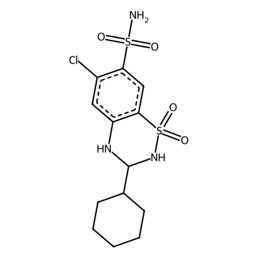 NS(=O)(=O)c1cc2c(cc1Cl)NC(C1CCCCC1)NS2(=O)=O